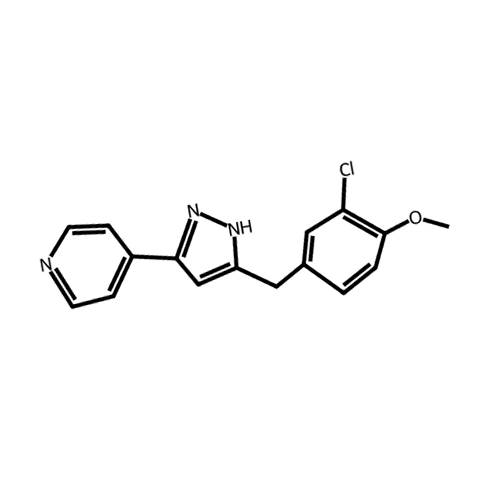 COc1ccc(Cc2cc(-c3ccncc3)n[nH]2)cc1Cl